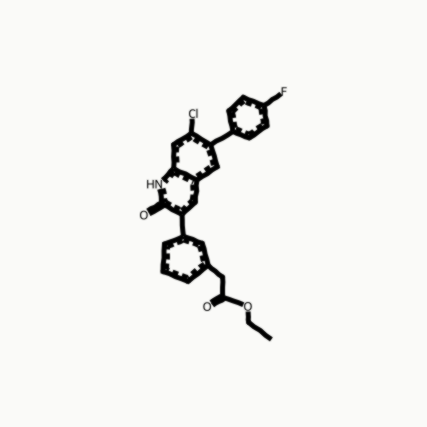 CCOC(=O)Cc1cccc(-c2cc3cc(-c4ccc(F)cc4)c(Cl)cc3[nH]c2=O)c1